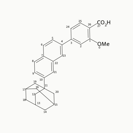 COc1cc(-c2ccc3ccc(C45CC6CC(CC(C6)C4)C5)cc3c2)ccc1C(=O)O